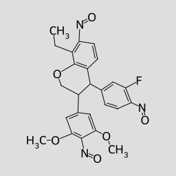 CCc1c(N=O)ccc2c1OCC(c1cc(OC)c(N=O)c(OC)c1)C2c1ccc(N=O)c(F)c1